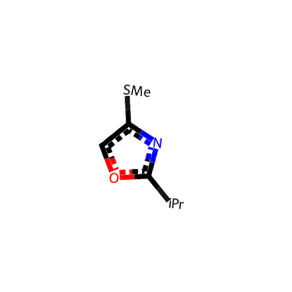 CSc1coc(C(C)C)n1